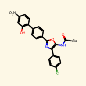 CCCCC(=O)Nc1oc(-c2ccc(-c3ccc([N+](=O)[O-])cc3O)cc2)nc1-c1ccc(Cl)cc1